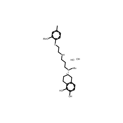 CCCCN(CCCNCCOc1ccc(C)cc1OC)[C@H]1CCc2c(ccc(O)c2O)C1.Cl.Cl